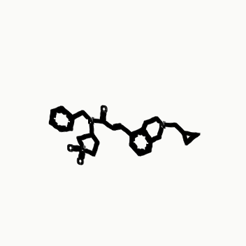 O=C(C=Cc1cccc2c1CCN(CC1CC1)C2)N(Cc1ccccc1)C1CCS(=O)(=O)C1